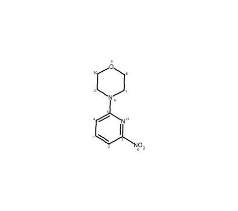 O=[N+]([O-])c1cccc(N2CCOCC2)n1